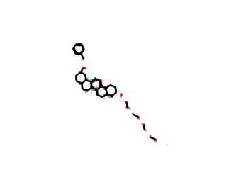 COCCOCCOCCNC(=O)COC(=O)[C@H]1CC[C@]2(C)[C@H]3C(=O)C=C4[C@]5(C)C[C@@](C)(C(=O)OCc6ccccc6)CC[C@]5(C)CC[C@@]4(C)[C@]3(C)CC[C@H]2C1(C)C